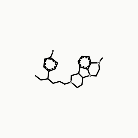 CCC(CCCN1CCC2C(C1)c1cccc3c1N2CCN3C)c1ccc(F)cc1